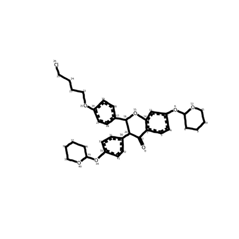 O=C1c2ccc(OC3CCCCO3)cc2OC(c2ccc(OCCCCCl)cc2)C1c1ccc(OC2CCCCO2)cc1